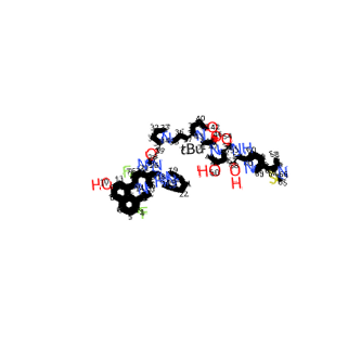 C#Cc1c(F)ccc2cc(O)cc(-c3ncc4c(N5CC6CCC(C5)N6)nc(OC[C@@H]5CCCN5CCC[C@H]5CCC(=O)N5[C@H](C(=O)N5C[C@H](O)C[C@H]5C(=O)N[C@@H](CO)c5ccc(-c6scnc6C)cn5)C(C)(C)C)nc4c3F)c12